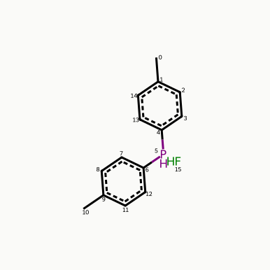 Cc1ccc(Pc2ccc(C)cc2)cc1.F